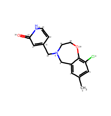 Cc1cc(Cl)c2c(c1)CN(Cc1cc[nH]c(=O)c1)CCO2